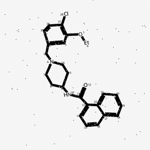 CCOc1cc(CN2CCC(NC(=O)c3cccc4ccccc34)CC2)ccc1Cl